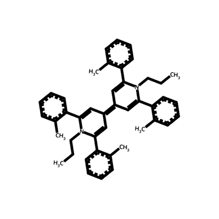 CCCN1C(c2ccccc2C)=CC(=C2C=C(c3ccccc3C)N(CCC)C(c3ccccc3C)=C2)C=C1c1ccccc1C